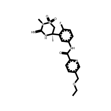 CCOCc1ccc(C(=O)Nc2ccc(F)c([C@]3(C)CS(=O)(=O)N(C)C(=N)N3)c2)nc1